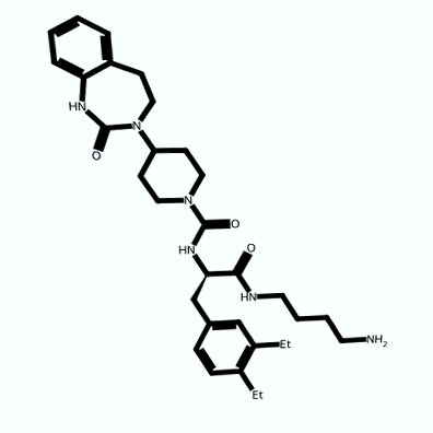 CCc1ccc(C[C@@H](NC(=O)N2CCC(N3CCc4ccccc4NC3=O)CC2)C(=O)NCCCCN)cc1CC